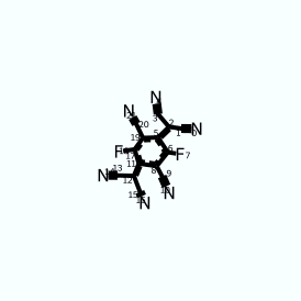 N#CC(C#N)=c1c(F)c(C#N)c(=C(C#N)C#N)c(F)c1C#N